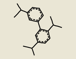 CC(C)c1cccc(-c2cc(C(C)C)ccc2C(C)C)c1